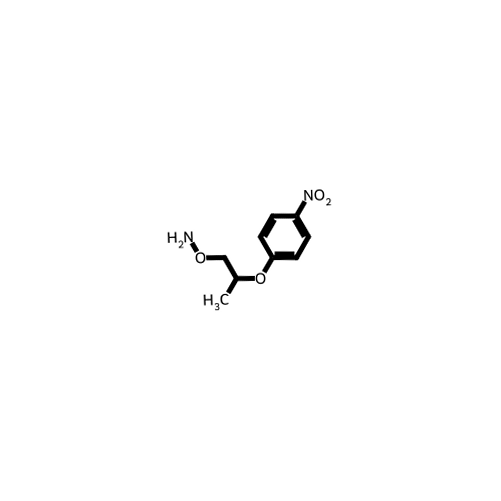 CC(CON)Oc1ccc([N+](=O)[O-])cc1